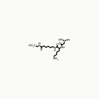 CCCN(CCC)CC(=O)NC(CCCCN)C(=O)NCCCCCC(=O)NCC(=O)O